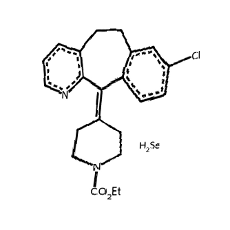 CCOC(=O)N1CCC(=C2c3ccc(Cl)cc3CCc3cccnc32)CC1.[SeH2]